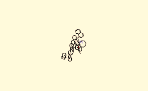 CCOC(=O)[C@@]12CCCCC/C=C\1N(C(=O)c1cccc3ccccc13)C(=O)[C@H]2CC(=O)N1CCN(C(=O)c2ccco2)CC1